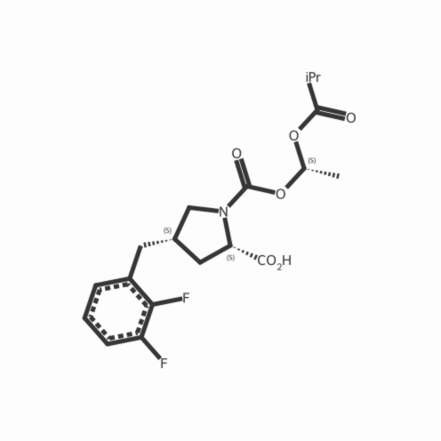 CC(C)C(=O)O[C@H](C)OC(=O)N1C[C@@H](Cc2cccc(F)c2F)C[C@H]1C(=O)O